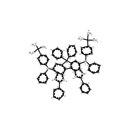 CC(C)(C)c1ccc(N(c2ccccc2)c2cc3c(c4oc(-c5ccccc5)nc24)-c2c(cc(N(c4ccccc4)c4ccc(C(C)(C)C)cc4)c4nc(-c5ccccc5)oc24)C3(c2ccccc2)c2ccccc2)cc1